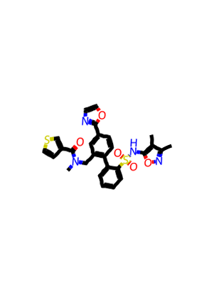 Cc1noc(NS(=O)(=O)c2ccccc2-c2ccc(-c3ncco3)cc2CN(C)C(=O)c2ccsc2)c1C